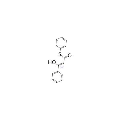 O=C(/C=C(\O)c1ccccc1)Sc1ccccc1